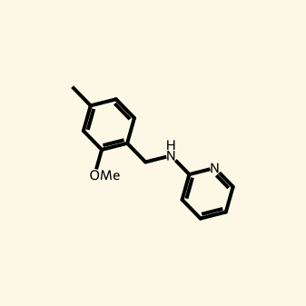 COc1cc(C)ccc1CNc1ccccn1